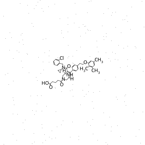 Cc1cc(C)c(C)c(OCCc2ccc(C3=C(C(=O)N(Cc4ccccc4Cl)C4CC4)[C@H]4CN(C(=O)CCCC(=O)O)C[C@@H](C3)N4)cc2)c1